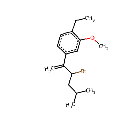 C=C(c1ccc(CC)c(OC)c1)C(Br)CC(C)C